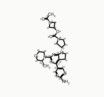 CC(=O)N1CC(OC(=O)N2CC[C@H](N3CCc4c(-c5cnc(N)nc5)nc(N5CCOC[C@@H]5C)nc43)C2)C1